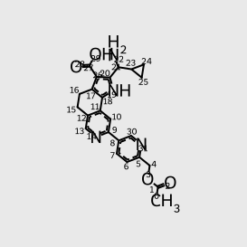 CC(=O)OCc1ccc(-c2cc3c(cn2)CCc2c-3[nH]c(C(N)C3CC3)c2C(=O)O)cn1